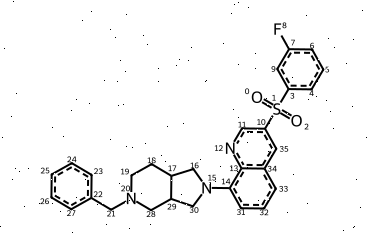 O=S(=O)(c1cccc(F)c1)c1cnc2c(N3CC4CCN(Cc5ccccc5)CC4C3)cccc2c1